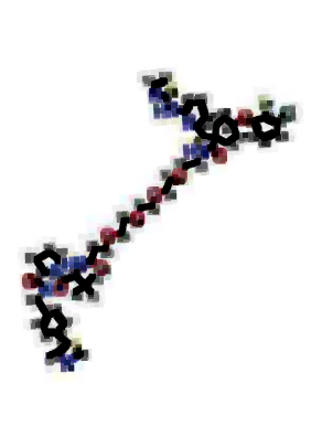 Cc1ncsc1-c1ccc(CNC(=O)[C@@H]2CCCN2C(=O)[C@@H](NC(=O)CCOCCOCCOCCOCCNC(=O)C2(Cc3cccc(Nc4nccs4)n3)CCC(Oc3cccc(Cl)c3F)CC2)C(C)(C)C)cc1